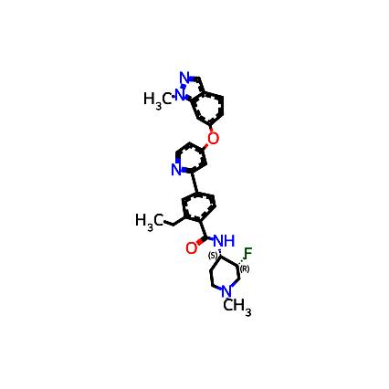 CCc1cc(-c2cc(Oc3ccc4cnn(C)c4c3)ccn2)ccc1C(=O)N[C@H]1CCN(C)C[C@H]1F